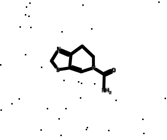 NC(=O)N1C=C2SCN=C2CC1